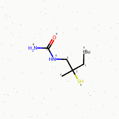 CC(C)(C)CC(C)(S)CNC(N)=O